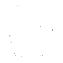 COc1c(C)c(-c2c(C(C)C)cc(C(C)C)cc2C(C)C)c(P(C(C)(C)C)C(C)(C)C)c(C)c1OC